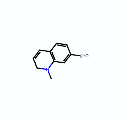 CN1CC=Cc2ccc(C=O)cc21